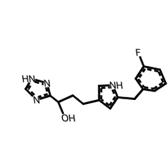 OC(CCc1c[nH]c(Cc2cccc(F)c2)c1)c1nc[nH]n1